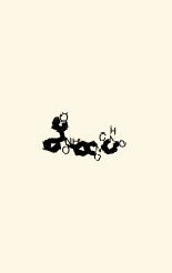 O=C1CCC(N2Cc3cc(C(=O)N[C@@H](c4ccccc4)C4CCOC4)ccc3C2=O)C(=O)N1